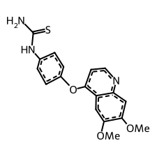 COc1cc2nccc(Oc3ccc(NC(N)=S)cc3)c2cc1OC